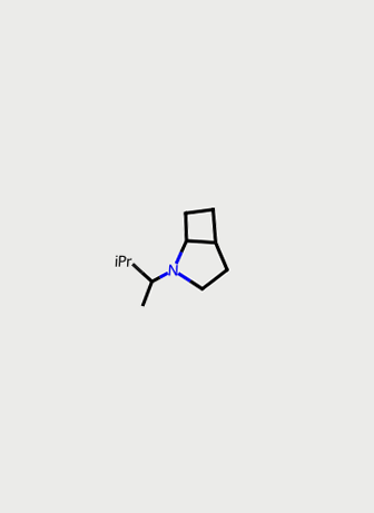 CC(C)C(C)N1CCC2CCC21